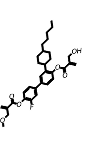 C=C(COC)C(=O)Oc1ccc(-c2ccc(OC(=O)C(=C)CO)c(C3CCC(CCCCC)CC3)c2)cc1F